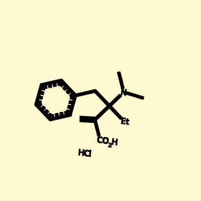 C=C(C(=O)O)C(CC)(Cc1ccccc1)N(C)C.Cl